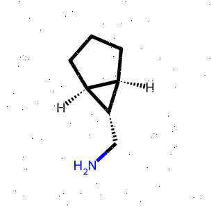 NC[C@@H]1[C@H]2CCC[C@@H]12